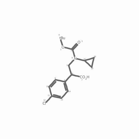 CC(C)(C)OC(=O)N(CC(C(=O)O)c1ccc(Cl)cc1)C1CC1